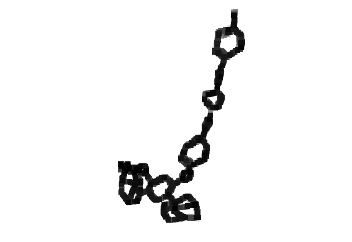 COc1cc(Oc2ccc(C#Cc3ccc(C#Cc4ccc(C)cc4)cc3)cc2)c(C23CC4CC(CC(C4)C2)C3)cc1C12CC3CC(CC(C3)C1)C2